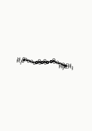 C=CC(=C)OCCOCCOCCOc1ccc(C(=O)Oc2ccc(C(=O)Oc3ccc(-c4ccc(C(=O)OCCOCCOCCOC(=O)CC(C)(C)C)cc4)cc3)cc2)cc1